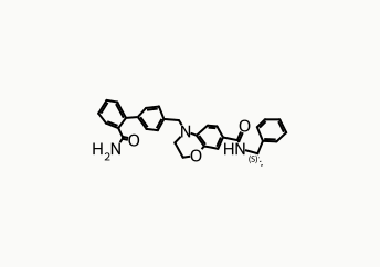 C[C@H](NC(=O)c1ccc2c(c1)OCCN2Cc1ccc(-c2ccccc2C(N)=O)cc1)c1ccccc1